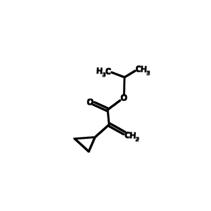 C=C(C(=O)OC(C)C)C1CC1